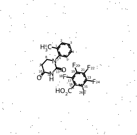 Cc1ccccc1N1CCC(=O)NC1=O.O=C(O)c1c(F)c(F)c(F)c(F)c1F